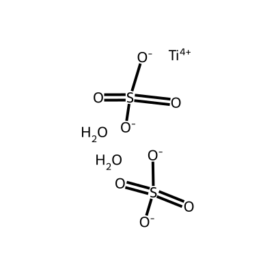 O.O.O=S(=O)([O-])[O-].O=S(=O)([O-])[O-].[Ti+4]